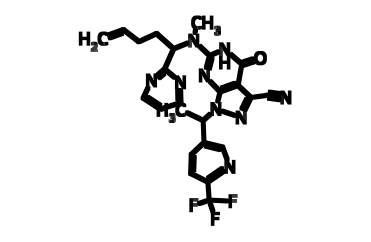 C=CCCC(c1ncccn1)N(C)c1nc2c(c(C#N)nn2C(C)c2ccc(C(F)(F)F)nc2)c(=O)[nH]1